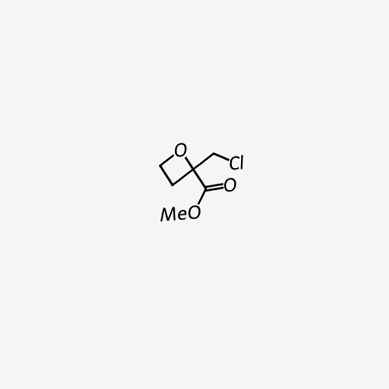 COC(=O)C1(CCl)CCO1